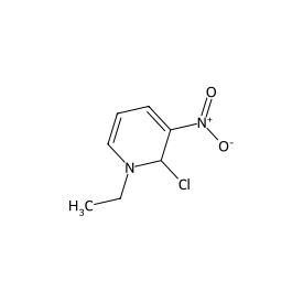 CCN1C=CC=C([N+](=O)[O-])C1Cl